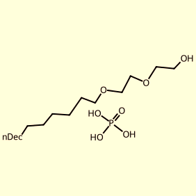 CCCCCCCCCCCCCCCCOCCOCCO.O=P(O)(O)O